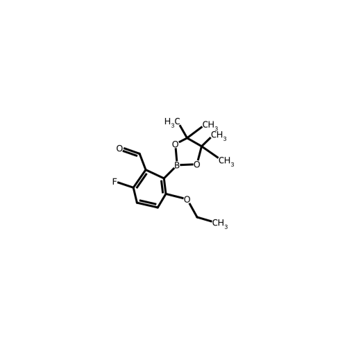 CCOc1ccc(F)c(C=O)c1B1OC(C)(C)C(C)(C)O1